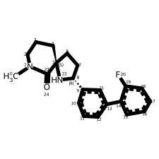 CN1CCC[C@]2(CC[C@H](c3cccc(-c4ccccc4F)c3)N2)C1=O